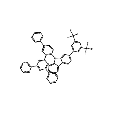 FC(F)(F)c1cc(-c2ccc3c4ccccc4n(-c4ccc(-c5cccnc5)cc4-c4nc(-c5ccccc5)nc(-c5ccccc5)n4)c3c2)cc(C(F)(F)F)c1